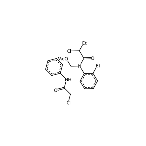 CCc1ccccc1N(COC)C(=O)C(Cl)CC.O=C(CCl)Nc1ccccc1